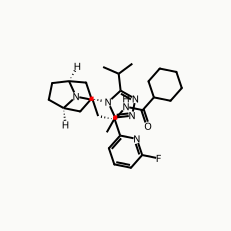 Cc1nnc(C(C)C)n1[C@@H]1C[C@H]2CC[C@@H](C1)N2CC[C@H](NC(=O)C1CCCCC1)c1cccc(F)n1